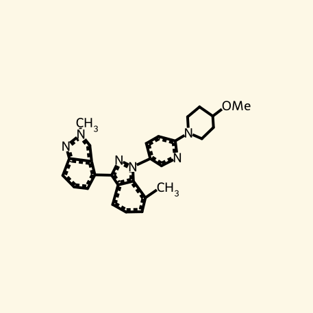 COC1CCN(c2ccc(-n3nc(-c4cccc5nn(C)cc45)c4cccc(C)c43)cn2)CC1